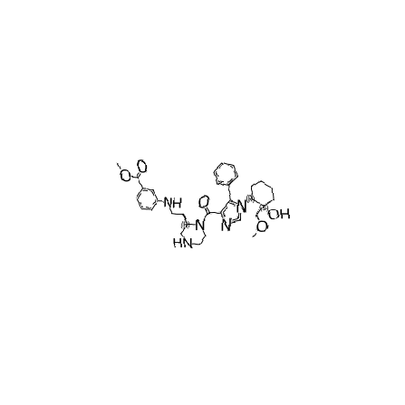 COC[C@]1(O)CCCC[C@H]1n1cnc(C(=O)N2CCNC[C@H]2CCNc2cccc(C(=O)OC)c2)c1-c1ccccc1